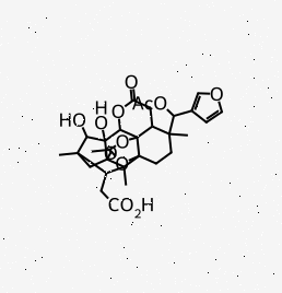 CC(=O)OC(c1ccoc1)C1(C)CCC23OC4(C)OC25C1CC(=O)OC5C1(O)C(O)C2(C)CC1(O4)C3(C)C2CC(=O)O